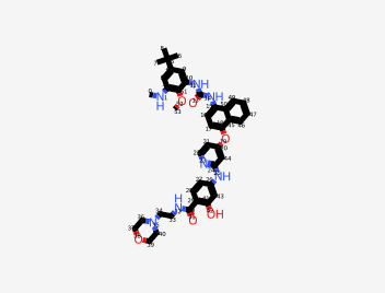 CNc1cc(C(C)(C)C)cc(NC(=O)Nc2ccc(Oc3ccnc(Nc4ccc(C(=O)NCCN5CCOCC5)c(O)c4)c3)c3ccccc23)c1OC